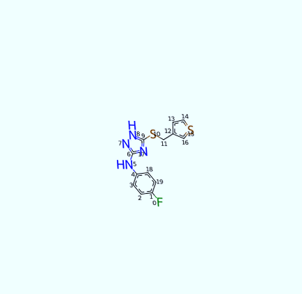 Fc1ccc(Nc2n[nH]c(SCc3ccsc3)n2)cc1